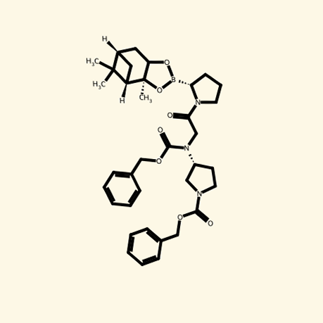 CC1(C)[C@@H]2CC3OB([C@@H]4CCCN4C(=O)CN(C(=O)OCc4ccccc4)[C@@H]4CCN(C(=O)OCc5ccccc5)C4)O[C@@]3(C)[C@H]1C2